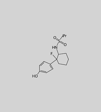 CC(C)S(=O)(=O)NC1CCCCC1(F)c1ccc(O)cc1